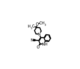 COC1(C)CCN(c2c(C#N)c(=O)[nH]c3ccccc23)CC1